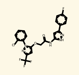 O=C(COc1cc(C(F)(F)F)nn1-c1ccccc1Cl)Nc1cc(-c2ccc(F)cc2)n[nH]1